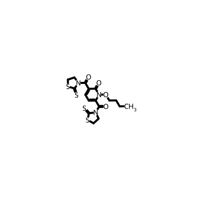 CCCCOn1c(C(=O)N2CCSC2=S)ccc(C(=O)N2CCSC2=S)c1=O